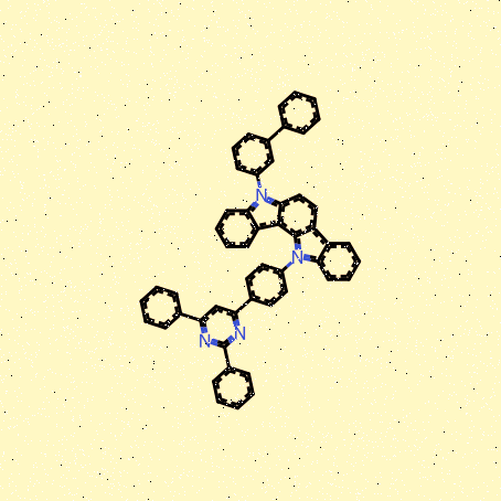 c1ccc(-c2cccc(-n3c4ccccc4c4c3ccc3c5ccccc5n(-c5ccc(-c6cc(-c7ccccc7)nc(-c7ccccc7)n6)cc5)c34)c2)cc1